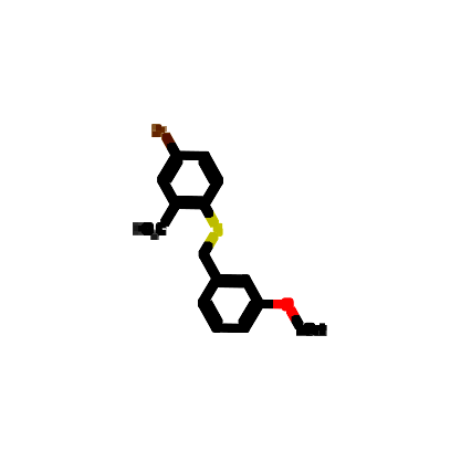 CCCCCCCCOc1cccc(CSc2ccc(Br)cc2C(=O)O)c1